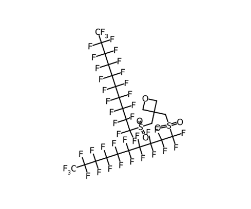 O=S(=O)(CC1(CS(=O)(=O)C(F)(F)C(F)(F)C(F)(F)C(F)(F)C(F)(F)C(F)(F)C(F)(F)C(F)(F)C(F)(F)C(F)(F)F)COC1)C(F)(F)C(F)(F)C(F)(F)C(F)(F)C(F)(F)C(F)(F)C(F)(F)C(F)(F)C(F)(F)C(F)(F)F